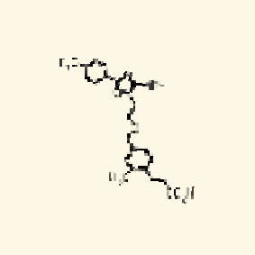 Cc1cc(COCCc2oc(-c3ccc(C(F)(F)F)cc3)nc2C(C)C)ccc1CCC(=O)O